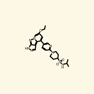 CCOc1cc(-c2ccc(N3CCC(S(=O)(=O)NC(C)C)CC3)nc2)c2c3cn[nH]c3nn2c1